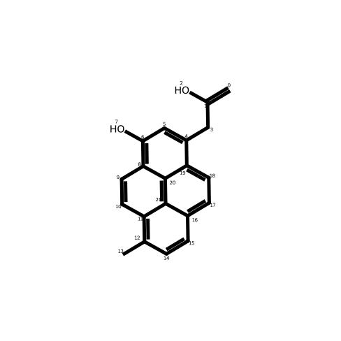 C=C(O)Cc1cc(O)c2ccc3c(C)ccc4ccc1c2c43